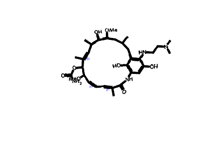 COC1/C=C\C=C(/C)C(=O)Nc2cc(O)c(NCCN(C)C)c(c2O)CC(C)CC(OC)C(O)C(C)/C=C(\C)C1OC(N)=O